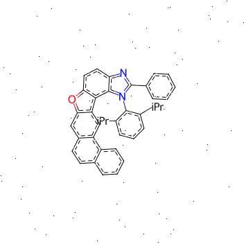 CC(C)c1cccc(C(C)C)c1-n1c(-c2ccccc2)nc2ccc3oc4cc5ccc6ccccc6c5cc4c3c21